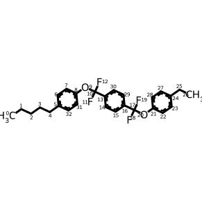 CCCCCc1ccc(OC(F)(F)c2ccc(C(F)(F)Oc3ccc(CC)cc3)cc2)cc1